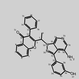 CC(c1oc2ccccc2c(=O)c1-c1ccccc1)n1nc(-c2cccc(O)c2)c2c(N)cncc21